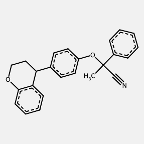 CC(C#N)(Oc1ccc(C2CCOc3ccccc32)cc1)c1ccccc1